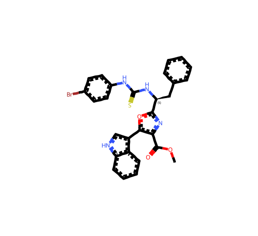 COC(=O)c1nc([C@H](Cc2ccccc2)NC(=S)Nc2ccc(Br)cc2)oc1-c1c[nH]c2ccccc12